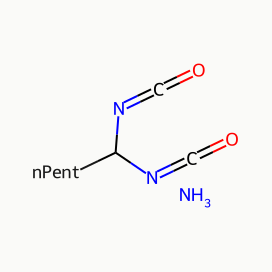 CCCCCC(N=C=O)N=C=O.N